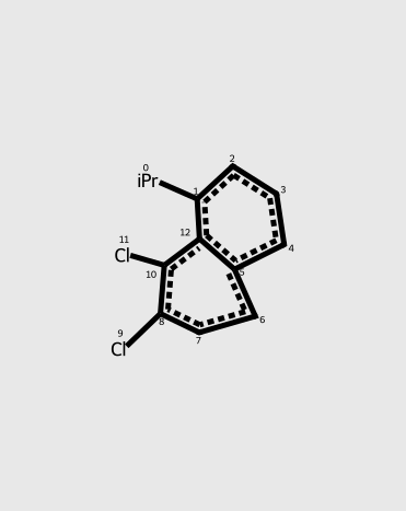 CC(C)c1cccc2ccc(Cl)c(Cl)c12